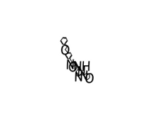 c1ccc(COc2ccc(-c3cc(Nc4ccnc(N5CCOCC5)n4)on3)cc2)cc1